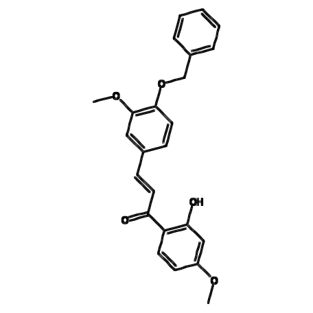 COc1ccc(C(=O)C=Cc2ccc(OCc3ccccc3)c(OC)c2)c(O)c1